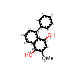 COc1cc(O)c2c(-c3ccccc3)cccc2c1O